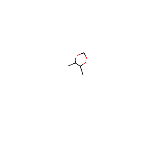 CCCC1OCOC1CCC